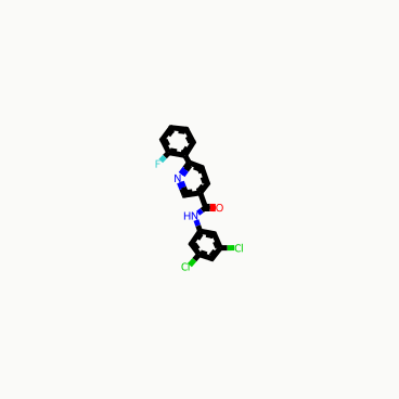 O=C(Nc1cc(Cl)cc(Cl)c1)c1ccc(-c2ccccc2F)nc1